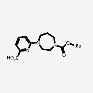 CC(C)(C)OC(=O)N1CCCN(c2cccc(C(=O)O)n2)CC1